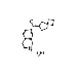 CCOC(=O)N1CCc2ccc([S+]([O-])C3CCC4(CCC4)C3)cc2C1